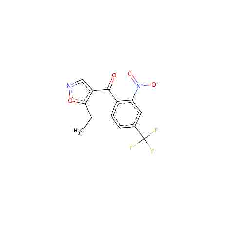 CCc1oncc1C(=O)c1ccc(C(F)(F)F)cc1[N+](=O)[O-]